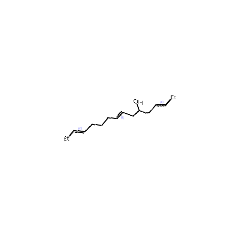 CC/C=C/CCC/C=C/CC(O)C/C=C/CC